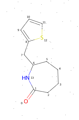 O=C1CCCCC(Cc2cccs2)N1